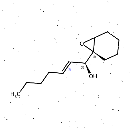 CCCC/C=C/[C@H](O)[C@@]12CCCCC1O2